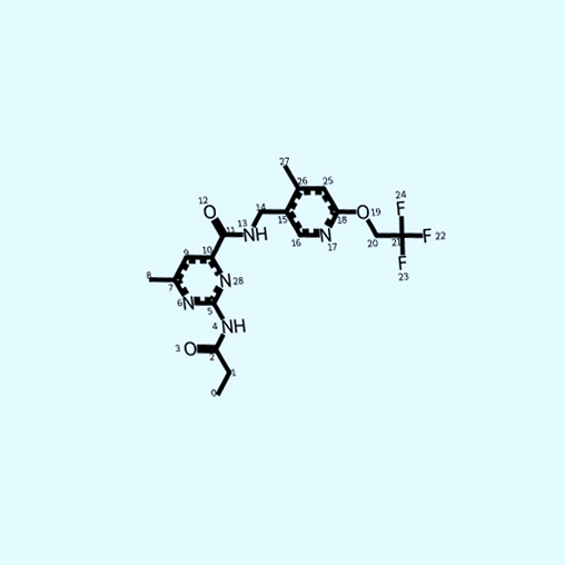 CCC(=O)Nc1nc(C)cc(C(=O)NCc2cnc(OCC(F)(F)F)cc2C)n1